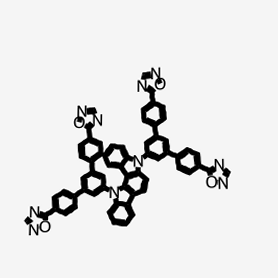 c1ccc2c(c1)c1c(ccc3c4ccccc4n(-c4cc(-c5ccc(-c6ncno6)cc5)cc(-c5ccc(-c6ncno6)cc5)c4)c31)n2-c1cc(-c2ccc(-c3ncno3)cc2)cc(-c2ccc(-c3ncno3)cc2)c1